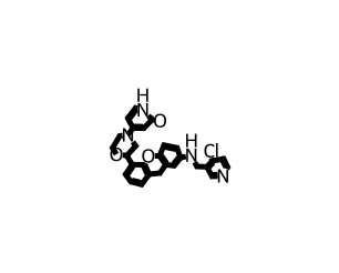 O=c1cc(N2CCOC(c3cccc4c3Oc3ccc(NCc5cnccc5Cl)cc3C4)C2)cc[nH]1